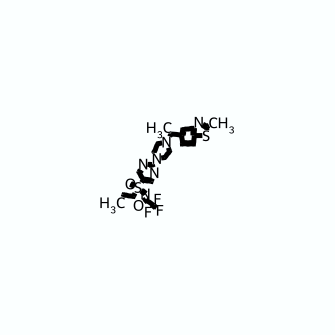 CCCS(=O)(=NC(=O)C(F)(F)F)c1cnc(N2CCN(C(C)c3ccc4sc(C)nc4c3)CC2)nc1